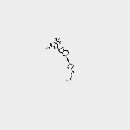 C[C@@](CCn1cc2cc(C#Cc3ccc(OCCO)cc3)ccc2n1)(C(=O)NO)S(C)(=O)=O